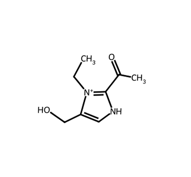 CC[n+]1c(CO)c[nH]c1C(C)=O